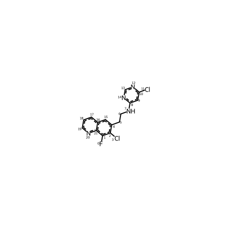 Fc1c(Cl)c(CCNc2cc(Cl)ncn2)cc2cccnc12